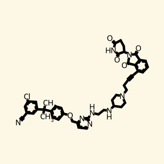 CC(C)(c1ccc(OCc2ccnc(NCCNC3CCN(CCC#Cc4cccc5c4C(=O)N(C4CCC(=O)NC4=O)C5=O)CC3)n2)cc1)c1cc(Cl)cc(C#N)c1